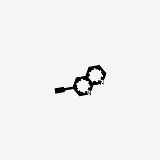 C#Cc1cnc2nc[c]cc2c1